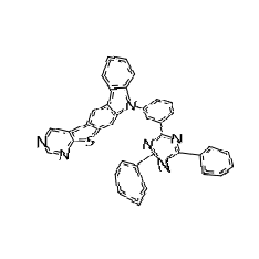 c1ccc(-c2nc(-c3ccccc3)nc(-c3cccc(-n4c5ccccc5c5cc6c(cc54)sc4ncncc46)c3)n2)cc1